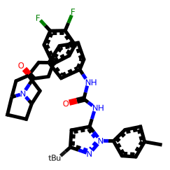 Cc1ccc(-n2nc(C(C)(C)C)cc2NC(=O)Nc2cccc(CC3CC4CCC(C3)N4C(=O)Cc3ccc(F)c(F)c3)c2)cc1